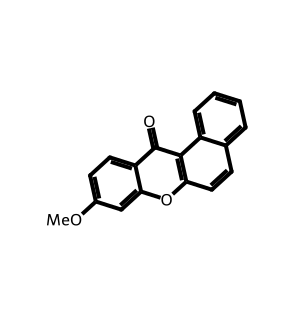 COc1ccc2c(=O)c3c(ccc4ccccc43)oc2c1